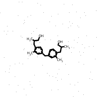 Cc1cc(Cc2ccc(CC(C)CO)c(C)c2)ccc1CC(C)CO